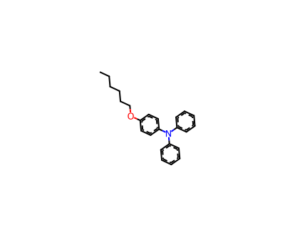 CCCCCCOc1ccc(N(c2ccccc2)c2ccccc2)cc1